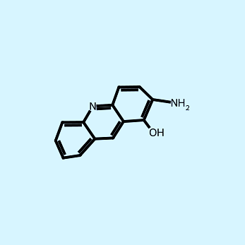 Nc1ccc2nc3ccccc3cc2c1O